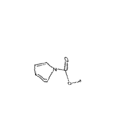 COC(=O)n1cccc1